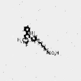 C[C@@H]1Cc2c([nH]c3ccccc23)[C@@H](c2ccc(OCCCCCOCC(=O)O)cn2)N1CC(F)F